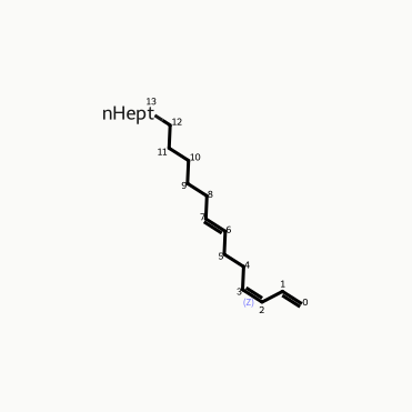 C=C/C=C\CCC=CCCCCCCCCCCCC